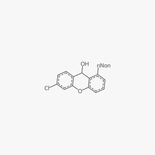 CCCCCCCCCc1cccc2c1C(O)c1ccc(Cl)cc1O2